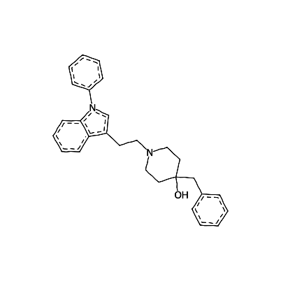 OC1(Cc2ccccc2)CCN(CCc2cn(-c3ccccc3)c3ccccc23)CC1